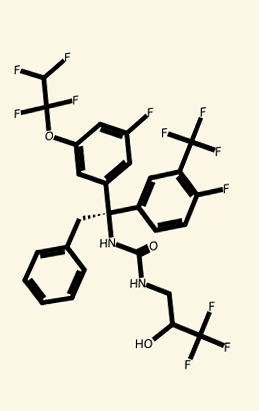 O=C(NCC(O)C(F)(F)F)N[C@@](Cc1ccccc1)(c1cc(F)cc(OC(F)(F)C(F)F)c1)c1ccc(F)c(C(F)(F)F)c1